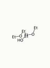 CCO.CCOCC.CCOCC